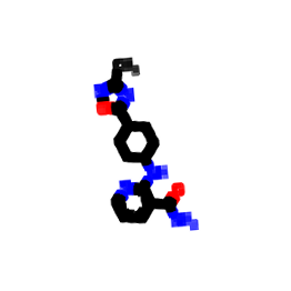 Cc1noc(C2CCC(Nc3ncccc3C(N)=O)CC2)n1